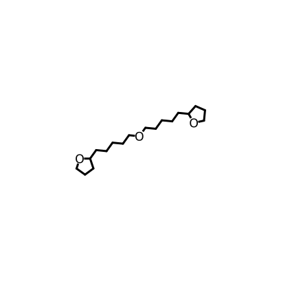 C(CCOCCCCCC1CCCO1)CCC1CCCO1